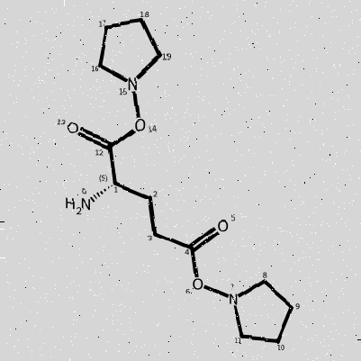 N[C@@H](CCC(=O)ON1CCCC1)C(=O)ON1CCCC1